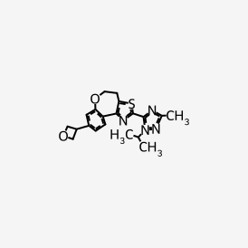 Cc1nc(-c2nc3c(s2)CCOc2cc(C4COC4)ccc2-3)n(C(C)C)n1